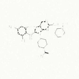 C[C@H]1COCC[C@@H]1Nc1ncc2nc(Nc3c(Cl)cc(C#N)cc3Cl)n([C@H]3CC[C@H](C(N)=O)CC3)c2n1